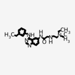 CCc1cccc(Nc2ncnc3ccc(NC(=O)CNCCN(CC)CC)cc23)c1